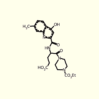 CCOC(=O)N1CCN(C(=O)C(CCC(=O)O)NC(=O)c2cc(O)c3ccc(C)cc3n2)CC1